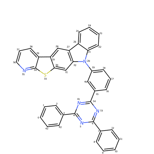 c1ccc(-c2nc(-c3ccccc3)nc(-c3cccc(-n4c5ccccc5c5cc6c(cc54)sc4ncccc46)c3)n2)cc1